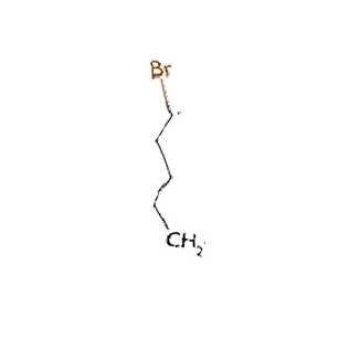 [CH2]CCC[CH]Br